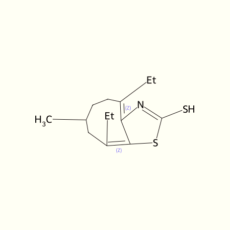 CC/C1=c2/nc(S)s/c2=C(/CC)CC(C)CC1